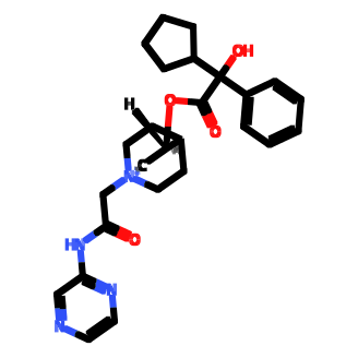 O=C(C[N+]12CCC(CC1)[C@@H](OC(=O)C(O)(c1ccccc1)C1CCCC1)C2)Nc1cnccn1